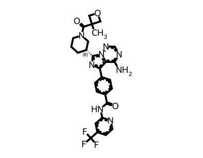 CC1(C(=O)N2CCC[C@@H](c3nc(-c4ccc(C(=O)Nc5cc(C(F)(F)F)ccn5)cc4)c4c(N)ncnn34)C2)COC1